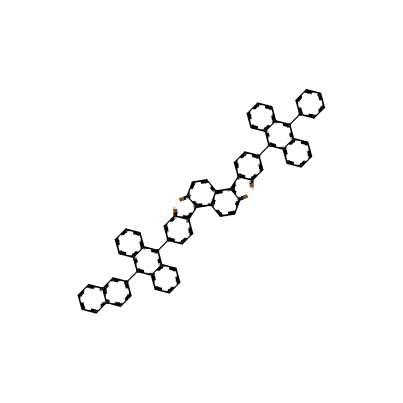 c1ccc(-c2c3ccccc3c(-c3ccc4c(c3)sc3ccc5c(ccc6sc7cc(-c8c9ccccc9c(-c9ccc%10ccccc%10c9)c9ccccc89)ccc7c65)c34)c3ccccc23)cc1